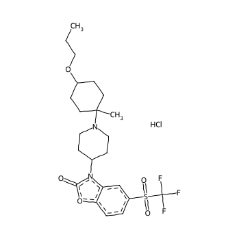 CCCOC1CCC(C)(N2CCC(n3c(=O)oc4ccc(S(=O)(=O)C(F)(F)F)cc43)CC2)CC1.Cl